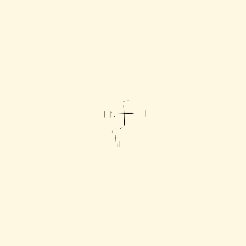 CCCOCC(N)(O)CC